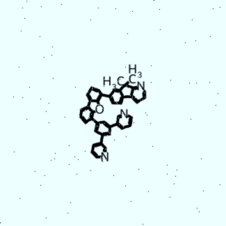 CC1(C)c2cc(-c3cccc4c3oc3c(-c5cc(-c6cccnc6)cc(-c6cccnc6)c5)cccc34)ccc2-c2cccnc21